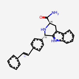 NC(=O)[C@H]1Cc2c([nH]c3ccccc23)[C@H](c2ccc(/C=C/c3ccccc3)cc2)N1